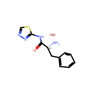 Br.N[C@H](Cc1ccccc1)C(=O)Nc1nncs1